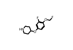 FCOc1ccc(OC2CCNCC2)cc1F